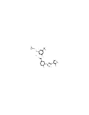 COc1c(CNC2CC2)cc(C(F)(F)F)cc1NC(=O)c1ccc(C)c(-n2cc(-c3cn[nH]c3C)nn2)c1